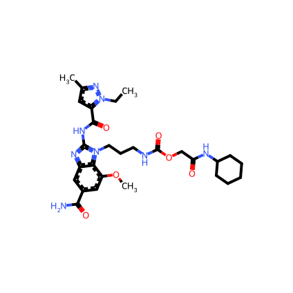 CCn1nc(C)cc1C(=O)Nc1nc2cc(C(N)=O)cc(OC)c2n1CCCNC(=O)OCC(=O)NC1CCCCC1